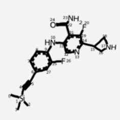 C[Si](C)(C)C#Cc1ccc(Nc2cnc(C3CNC3)c(F)c2C(N)=O)c(F)c1